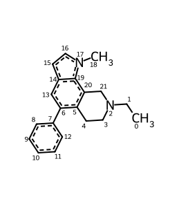 CCN1CCc2c(-c3ccccc3)cc3ccn(C)c3c2C1